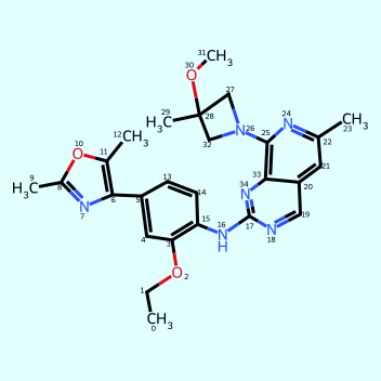 CCOc1cc(-c2nc(C)oc2C)ccc1Nc1ncc2cc(C)nc(N3CC(C)(OC)C3)c2n1